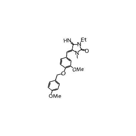 CCN1C(=N)C(=Cc2ccc(OCc3ccc(OC)cc3)c(OC)c2)N(C)C1=O